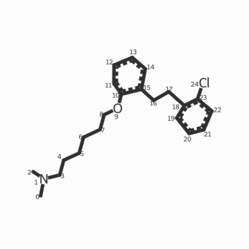 CN(C)CCCCCCOc1ccccc1CCc1ccccc1Cl